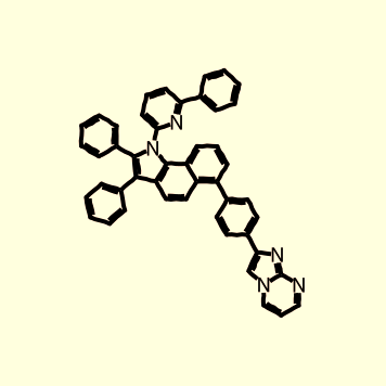 c1ccc(-c2cccc(-n3c(-c4ccccc4)c(-c4ccccc4)c4ccc5c(-c6ccc(-c7cn8cccnc8n7)cc6)cccc5c43)n2)cc1